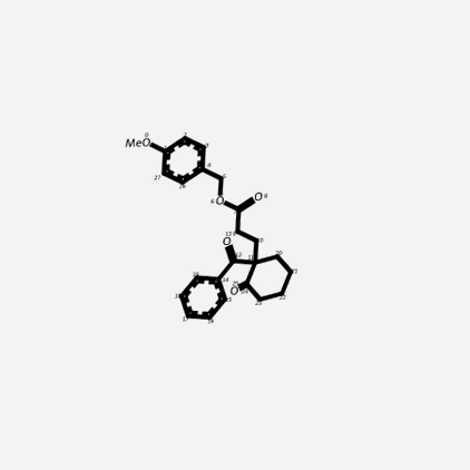 COc1ccc(COC(=O)CCC2(C(=O)c3ccccc3)CCCCC2=O)cc1